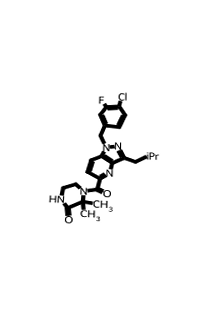 CC(C)Cc1nn(Cc2ccc(Cl)c(F)c2)c2ccc(C(=O)N3CCNC(=O)C3(C)C)nc12